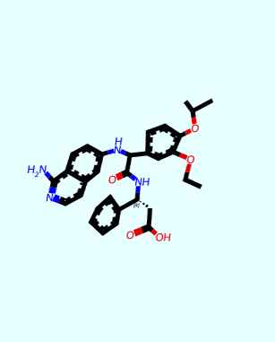 CCOc1cc(C(Nc2ccc3c(N)nccc3c2)C(=O)N[C@H](CC(=O)O)c2ccccc2)ccc1OC(C)C